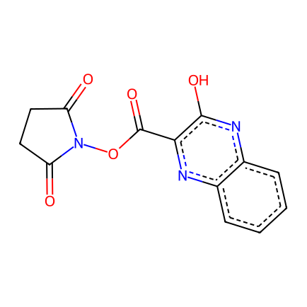 O=C(ON1C(=O)CCC1=O)c1nc2ccccc2nc1O